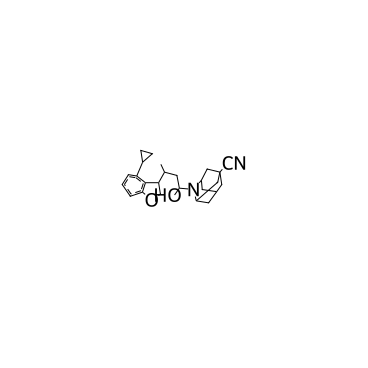 CC(CC(O)N1C2CC3CC1CC(C#N)(C3)C2)C1COc2cccc(C3CC3)c21